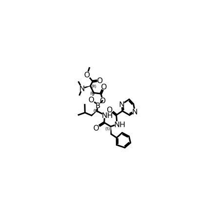 COC(=O)[C@@H]([C@H]1OB([C@H](CC(C)C)NC(=O)[C@H](Cc2ccccc2)NC(=O)c2cnccn2)OC1=O)N(C)C